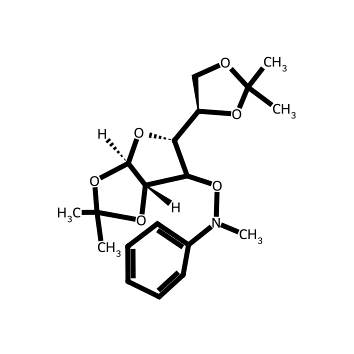 CN(OC1[C@@H]2OC(C)(C)O[C@H]2O[C@@H]1[C@H]1COC(C)(C)O1)c1ccccc1